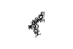 CC(C)N1CCC(NC(=O)c2c(C#N)cnn2CC(=O)Nc2ccc(Cl)cc2)CC1